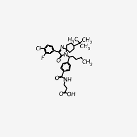 CCCCC(c1ccc(C(=O)NCCC(=O)O)cc1)N1C(=O)C(c2ccc(Cl)c(F)c2)=NC12CCC(C(C)(C)C)CC2